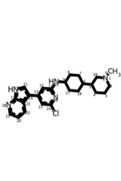 CN1CCCC(C2CCC(Nc3cc(-c4c[nH]c5ncccc45)cc(Cl)n3)CC2)C1